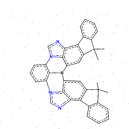 CC1(C)c2ccccc2-c2c1cc1c3c2ncn3-c2cccc3c2B1c1cc2c(c4ncn-3c14)-c1ccccc1C2(C)C